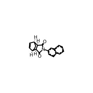 O=C1[C@@H]2[C@H](C(=O)N1c1ccc3ccccc3c1)[C@@H]1C=C[C@H]2CC1